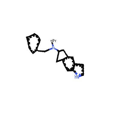 CCCN(Cc1ccccc1)C1Cc2cc3cc[nH]c3cc2C1